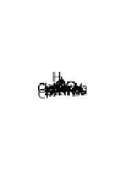 CCOc1cc(C(=O)Nc2ccc(OC)nc2)ccc1-c1cc2cc(Cl)c(Cl)cc2[nH]1